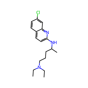 CCN(CC)CCCC(C)Nc1ccc2ccc(Cl)cc2n1